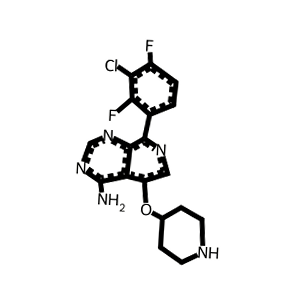 Nc1ncnc2c(-c3ccc(F)c(Cl)c3F)ncc(OC3CCNCC3)c12